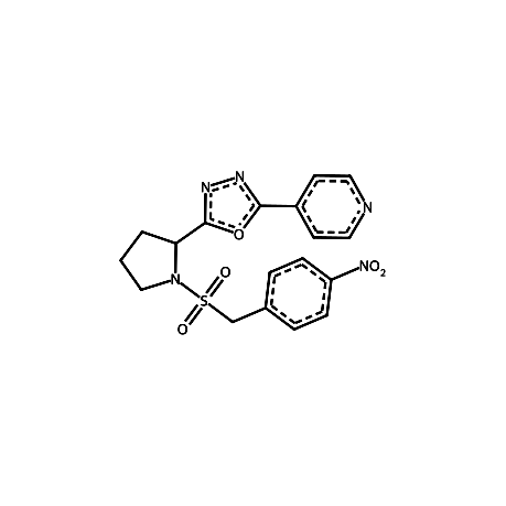 O=[N+]([O-])c1ccc(CS(=O)(=O)N2CCCC2c2nnc(-c3ccncc3)o2)cc1